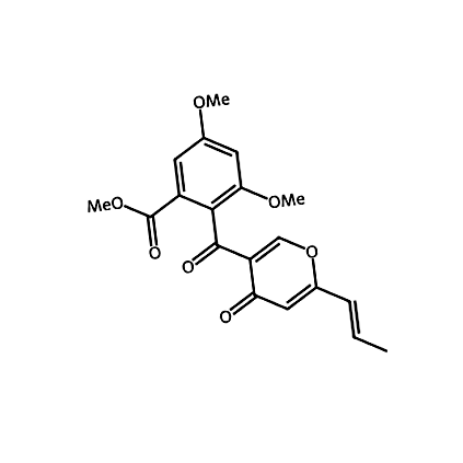 C/C=C/c1cc(=O)c(C(=O)c2c(OC)cc(OC)cc2C(=O)OC)co1